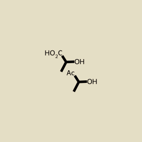 CC(=O)C(C)O.CC(O)C(=O)O